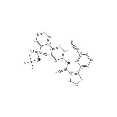 CC(C)(C)NS(=O)(=O)c1ccccc1-c1ccc(NC(=O)C2=C(c3cccc(C#N)c3)CCC2)cc1